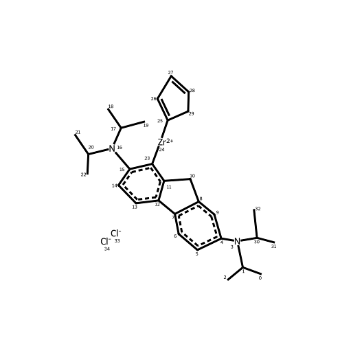 CC(C)N(c1ccc2c(c1)Cc1c-2ccc(N(C(C)C)C(C)C)[c]1[Zr+2][C]1=CC=CC1)C(C)C.[Cl-].[Cl-]